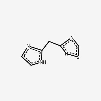 c1c[nH]c(Cc2ncsn2)n1